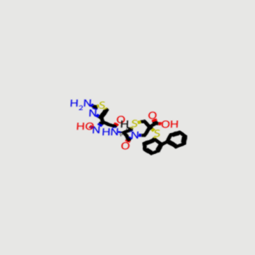 Nc1nc(C(=NO)C(=O)N[C@@H]2C(=O)N3CC(Sc4ccccc4-c4ccccc4)(C(=O)O)CS[C@H]23)cs1